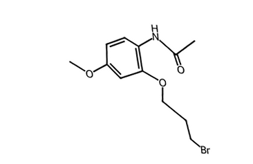 COc1ccc(NC(C)=O)c(OCCCBr)c1